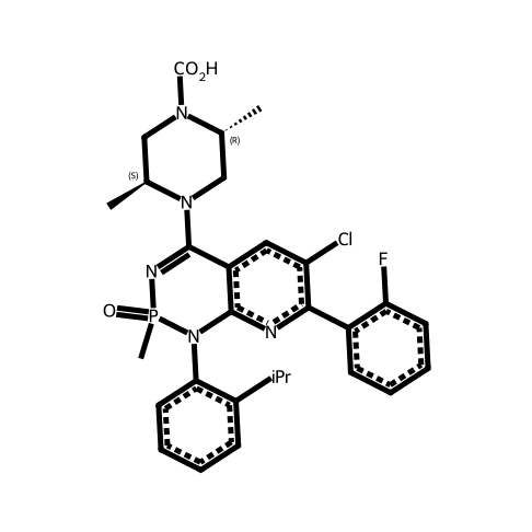 CC(C)c1ccccc1N1c2nc(-c3ccccc3F)c(Cl)cc2C(N2C[C@@H](C)N(C(=O)O)C[C@@H]2C)=NP1(C)=O